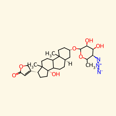 CC1OC(O[C@H]2CCC3(C)C4CCC5(C)[C@@H](C6=CC(=O)OC6)CC[C@]5(O)C4CC[C@@H]3C2)[C@@H](O)[C@@H](O)[C@H]1N=[N+]=[N-]